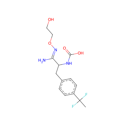 CC(F)(F)c1ccc(CC(NC(=O)O)/C(N)=N/OCCO)cc1